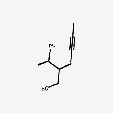 CC#CCC(CO)C(C)O